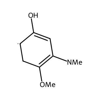 CNC1=C(OC)C[CH]C(O)=C1